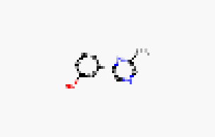 Cc1cncc(-c2cccc(O)c2)n1